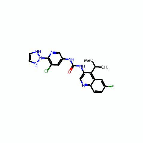 COC(C)c1c(NC(=O)Nc2cnc(N3NC=CN3)c(Cl)c2)cnc2ccc(F)cc12